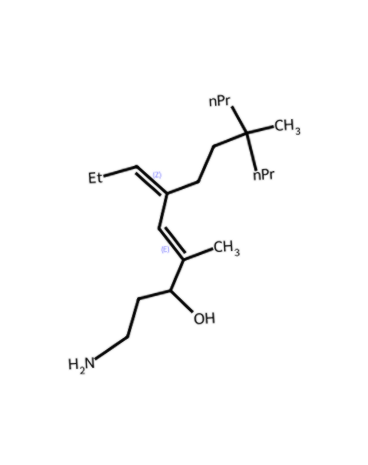 CC/C=C(\C=C(/C)C(O)CCN)CCC(C)(CCC)CCC